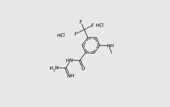 CNc1cc(C(=O)NC(=N)N)cc(C(F)(F)F)c1.Cl.Cl